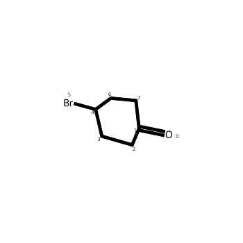 O=C1CCC(Br)CC1